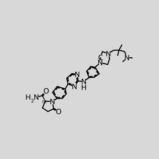 CN(C)CC(C)(C)CN1CCN(c2ccc(Nc3nccc(-c4ccc(N5C(=O)CC[C@H]5C(N)=O)cc4)n3)cc2)CC1